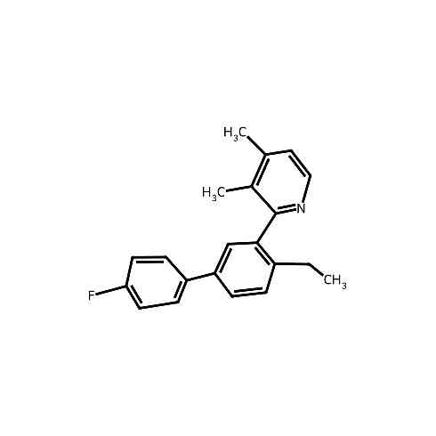 CCc1ccc(-c2ccc(F)cc2)cc1-c1nccc(C)c1C